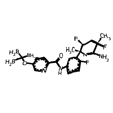 BC(B)(B)Oc1ccc(C(=O)Nc2ccc(F)c([C@@]3(C)N=C(N)[C@@](C)(F)C[C@@H]3F)c2)nc1